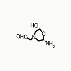 Cl.N[C@@H]1CN(CC=O)CCO1